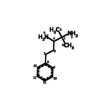 CC(C)(N)C(N)CCc1ccccc1